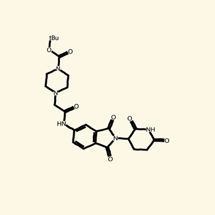 CC(C)(C)OC(=O)N1CCN(CC(=O)Nc2ccc3c(c2)C(=O)N(C2CCC(=O)NC2=O)C3=O)CC1